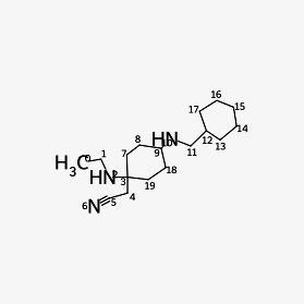 CCNC1(CC#N)CCC(NCC2CCCCC2)CC1